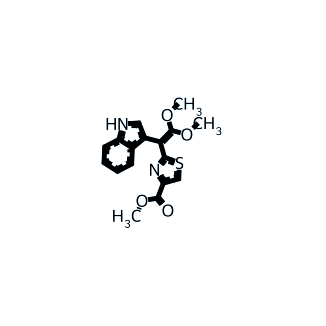 COC(=O)c1csc(C(=C(OC)OC)c2c[nH]c3ccccc23)n1